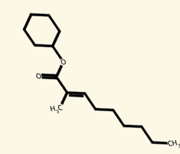 CCCCCCC=C(C)C(=O)OC1CCCCC1